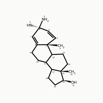 C[C@]12C=C[C@]([NH])(N)C=C1CCC1C2CC[C@@]2(C)C1CC[C@@H]2O